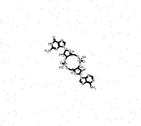 Nc1nc2c(ncn2[C@@H]2O[C@@H]3CO[P@@](=O)(S)O[C@H]4[C@@H](F)[C@H](n5cnc6c(N)ncnc65)O[C@@H]4CO[P@@](=O)(S)OC3[C@H]2F)c(=O)[nH]1